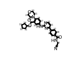 N#CCNC(=O)c1ccc(-c2ccnc(Nc3ccc(N4CCOCC4)c(C(=O)OC4CCCC4)c3)n2)cc1